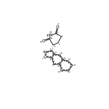 O=C1CC[C@H](c2noc3cc4ncccc4cc23)C(=O)N1